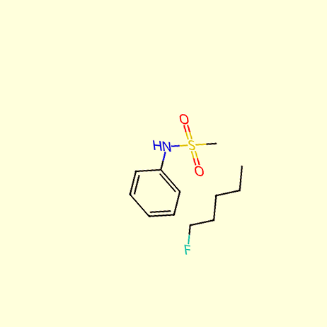 CCCCCF.CS(=O)(=O)Nc1ccccc1